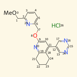 COCc1cccc(COc2cc(-c3cncnc3)c3c(n2)CCCC3)n1.Cl